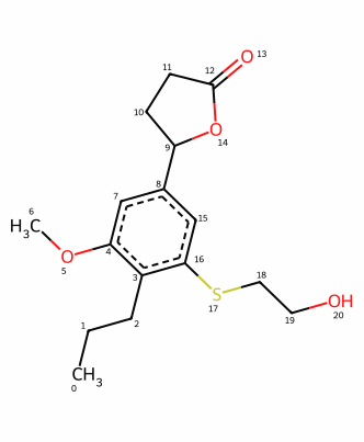 CCCc1c(OC)cc(C2CCC(=O)O2)cc1SCCO